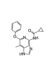 Cc1c(Oc2ccccc2)nc(NC(=O)C2CC2)c2nc[nH]c12